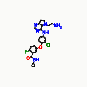 NCCn1ccc2ncnc(Nc3ccc(Oc4ccc(F)c(C(=O)NC5CC5)c4)c(Cl)c3)c21